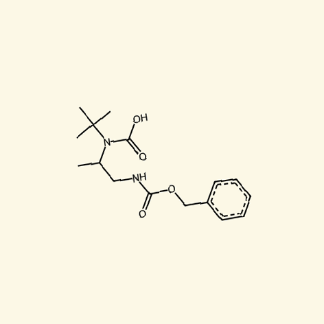 CC(CNC(=O)OCc1ccccc1)N(C(=O)O)C(C)(C)C